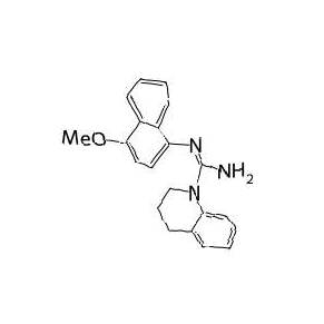 COc1ccc(N=C(N)N2CCCc3ccccc32)c2ccccc12